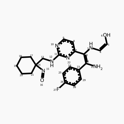 N/C(=C(\N/C=C\O)c1ccnc(NCC2(N=O)CCCCC2)n1)c1ccc(F)cc1